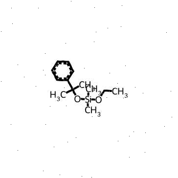 CCO[Si](C)(C)OC(C)(C)c1ccccc1